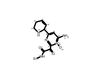 CCNC(=O)C(=O)c1nc(C2C=CCCN2)cc(N)[n+]1[O-]